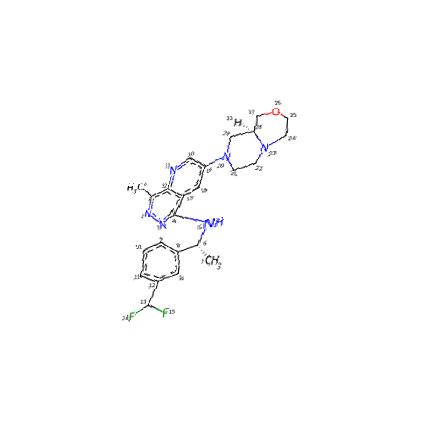 Cc1nnc(N[C@H](C)c2cccc(C(F)F)c2)c2cc(N3CCN4CCOC[C@@H]4C3)cnc12